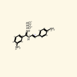 Cl.Cl.Cl.N=C(N/C=C/c1ccc(N)cc1)c1cccc(N)c1